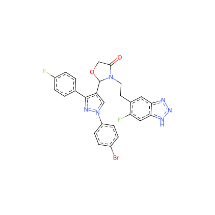 O=C1COC(c2cn(-c3ccc(Br)cc3)nc2-c2ccc(F)cc2)N1CCc1cc2nn[nH]c2cc1F